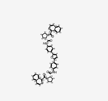 O=C(Nc1ccc(-c2ccc(-c3ccc(NC(=O)[C@@H]4CCCN4C(=O)c4nccc5ccccc45)cc3)o2)cc1)[C@@H]1CCCN1C(=O)c1nccc2ccccc12